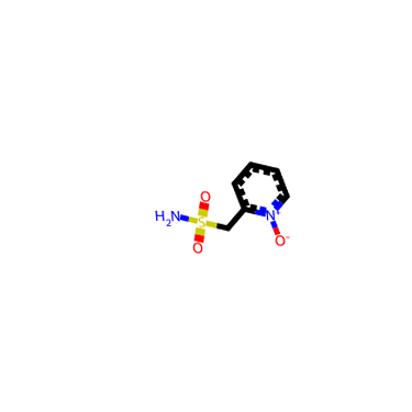 NS(=O)(=O)Cc1cccc[n+]1[O-]